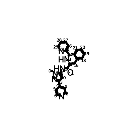 Cn1nc(-c2ccncc2)cc1NC(=O)C(Cc1ccccc1)NCc1ccccn1